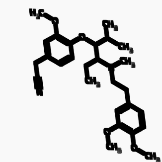 CCC(C(Oc1ccc(CC#N)cc1OC)C(C)C)N(C)CCc1ccc(OC)c(OC)c1